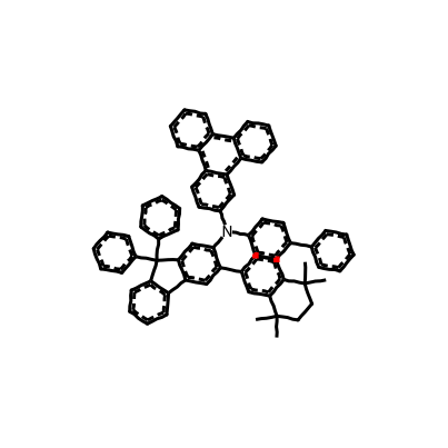 CC1(C)CCC(C)(C)c2cc(-c3cc4c(cc3N(c3ccc(-c5ccccc5)cc3)c3ccc5c6ccccc6c6ccccc6c5c3)C(c3ccccc3)(c3ccccc3)c3ccccc3-4)ccc21